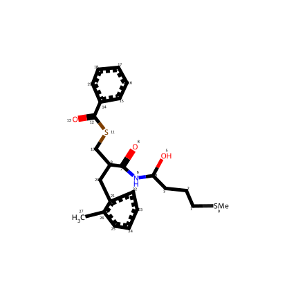 CSCCCC(O)NC(=O)C(CSC(=O)c1ccccc1)Cc1ccccc1C